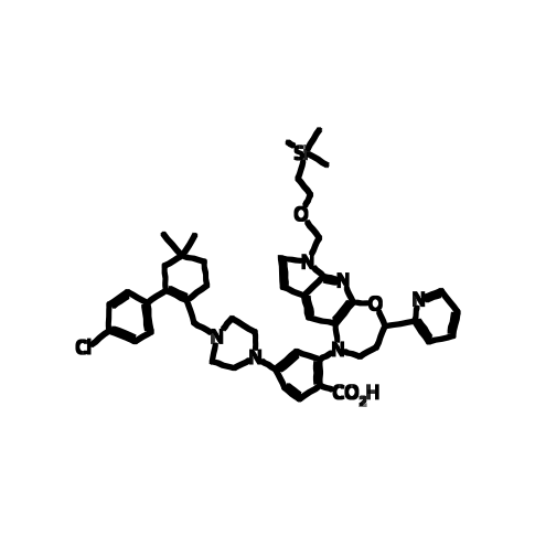 CC1(C)CCC(CN2CCN(c3ccc(C(=O)O)c(N4CCC(c5ccccn5)Oc5nc6c(ccn6COCC[Si](C)(C)C)cc54)c3)CC2)=C(c2ccc(Cl)cc2)C1